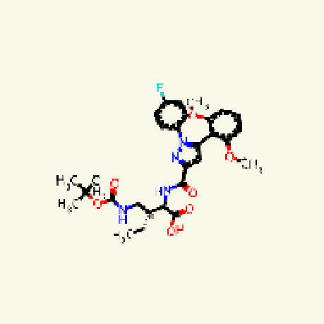 CC[C@H](CNC(=O)OC(C)(C)C)C(NC(=O)c1cc(-c2c(OC)cccc2OC)n(-c2ccc(F)cc2)n1)C(=O)O